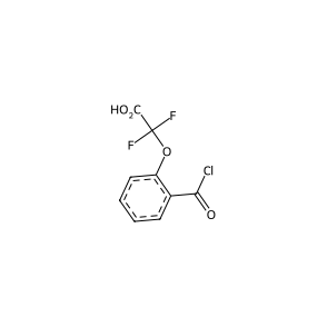 O=C(Cl)c1ccccc1OC(F)(F)C(=O)O